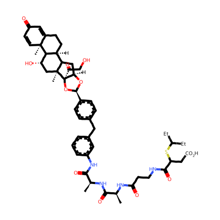 CCC(CC)SC(CC(=O)O)C(=O)NCCC(=O)N[C@@H](C)C(=O)N[C@@H](C)C(=O)Nc1cccc(Cc2ccc([C@@H]3O[C@@H]4CC5[C@@H]6CCC7=CC(=O)C=C[C@]7(C)C6[C@@H](O)C[C@]5(C)[C@]4(C(=O)CO)O3)cc2)c1